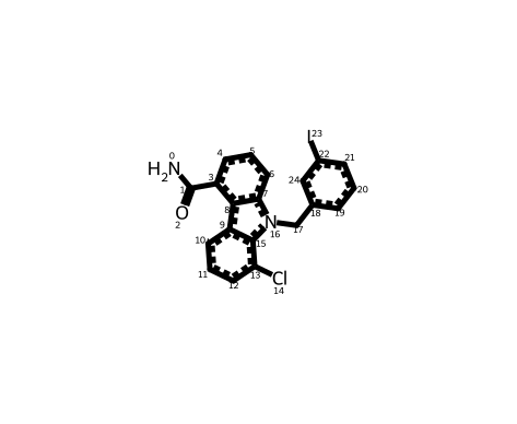 NC(=O)c1cccc2c1c1[c]ccc(Cl)c1n2Cc1cccc(I)c1